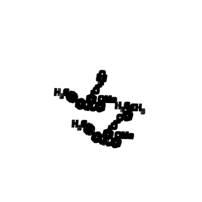 COc1cccc(CN(Cc2ccc(N3CCN(C)CC3)cc2)c2ccc(COCCN3CCOCC3)cc2)c1.COc1cccc(CN(Cc2ccc(N3CCN(C)CC3)cc2)c2ccc(COCCOc3cccc(N(C)C)c3)cc2)c1